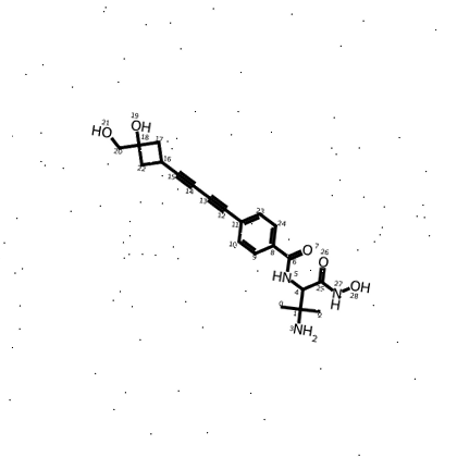 CC(C)(N)C(NC(=O)c1ccc(C#CC#CC2CC(O)(CO)C2)cc1)C(=O)NO